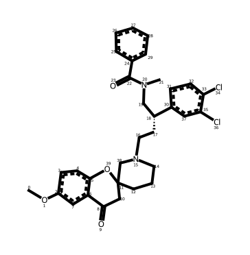 COc1ccc2c(c1)C(=O)CC1(CCCN(CC[C@H](CN(C)C(=O)c3ccccc3)c3ccc(Cl)c(Cl)c3)C1)O2